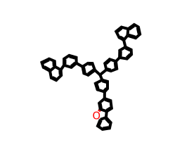 c1cc(-c2ccc(C(c3ccc(-c4cccc(-c5cccc6ccccc56)c4)cc3)c3ccc(-c4ccc5c(c4)oc4ccccc45)cc3)cc2)cc(-c2cccc3ccccc23)c1